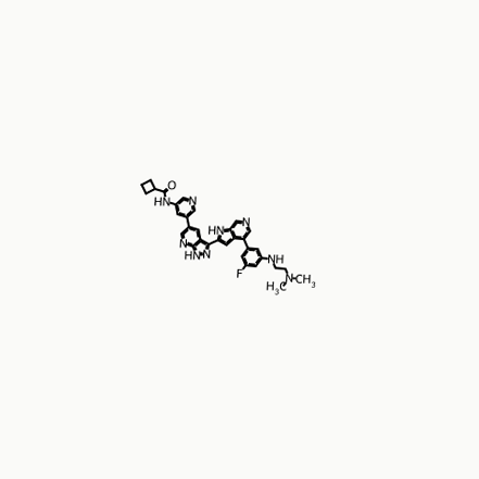 CN(C)CCNc1cc(F)cc(-c2cncc3[nH]c(-c4n[nH]c5ncc(-c6cncc(NC(=O)C7CCC7)c6)cc45)cc23)c1